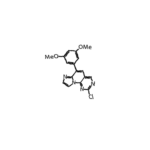 COc1cc(OC)cc(-c2cc3cnc(Cl)nc3n3ccnc23)c1